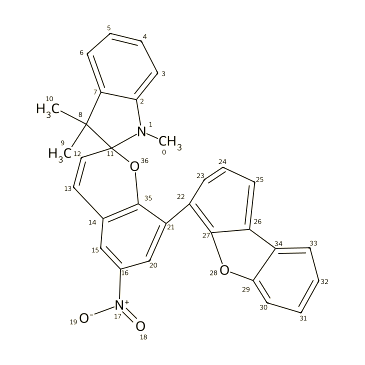 CN1c2ccccc2C(C)(C)C12C=Cc1cc([N+](=O)[O-])cc(-c3cccc4c3oc3ccccc34)c1O2